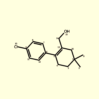 CC1(C)CCC(c2ccc(Cl)cc2)=C(CO)C1